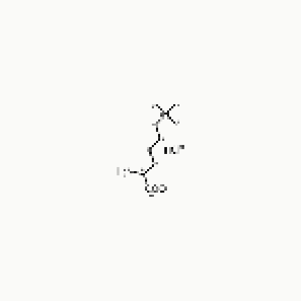 C[N+](C)(C)CCCCC(N)C(=O)[O-].Cl